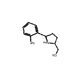 CC(C)c1ccccc1C1CCC(CO)N1